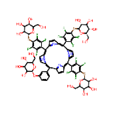 OCC1O[C@@H](Oc2cccc(-c3c4nc(c(-c5c(F)c(F)c(S[C@@H]6OC(CO)[C@H](O)C(O)C6O)c(F)c5F)c5ccc([nH]5)c(-c5c(F)c(F)c(SC6O[C@H](CO)[C@@H](O)C(O)[C@H]6O)c(F)c5F)c5nc(c(-c6c(F)c(F)c(S[C@@H]7OC(CO)[C@H](O)C(O)C7O)c(F)c6F)c6ccc3[nH]6)C=C5)C=C4)c2)C(O)C(O)[C@@H]1O